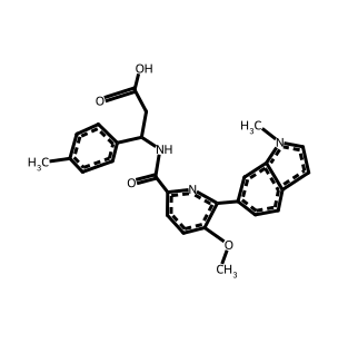 COc1ccc(C(=O)NC(CC(=O)O)c2ccc(C)cc2)nc1-c1ccc2ccn(C)c2c1